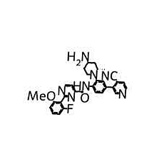 COc1cccc(F)c1-c1nccc(C(=O)Nc2ccc(-c3cnccc3C#N)cc2N2CC[C@H](N)C[C@@H]2C)n1